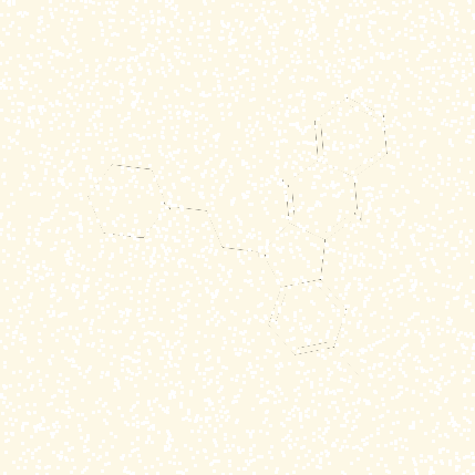 Cc1ccc2c(c1)c1nc3ccccc3nc1n2CCN1CCCCC1